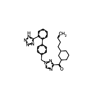 C=CCCC1CCCC(C(=O)c2ncn(Cc3ccc(-c4ccccc4-c4nnn[nH]4)cc3)n2)C1